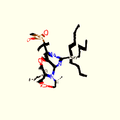 CCC[CH2][Sn]([CH2]CCC)([CH2]CCC)[c]1nc2c(c(C(C)(C)S(C)(=O)=O)n1)OC[C@@H]1COC[C@@H](C)N21